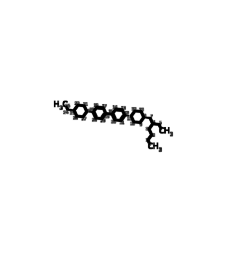 CCCCC(CC)C[C@H]1CC[C@H](c2ccc(-c3ccc([C@H]4CC[C@H](CC)CC4)cc3)cc2)CC1